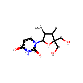 COC1C(n2ccc(=O)[nH]c2=O)OC(CO)(CO)C1C